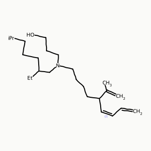 C=C/C=C\C(CCCCN(CCCO)CC(CC)CCCC(C)C)C(=C)C